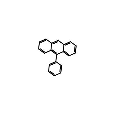 [c]1c2ccccc2c(-c2ccccc2)c2ccccc12